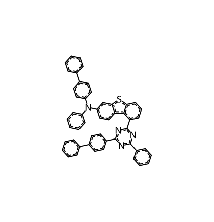 c1ccc(-c2ccc(-c3nc(-c4ccccc4)nc(-c4cccc5sc6cc(N(c7ccccc7)c7ccc(-c8ccccc8)cc7)ccc6c45)n3)cc2)cc1